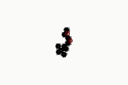 c1ccc(-c2c3c(c(-c4ccccc4)c4ccccc24)-c2ccc(-c4ccc5oc6ccc(-c7cccc8c7oc7ccccc78)cc6c5c4)c4cccc-3c24)cc1